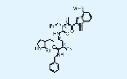 COc1cccc2[nH]c(C(=O)N[C@@H](CC(C)C)C(=O)N[C@H](/C=C(/C#N)C(=O)NCc3ccccc3)CCC3CCNC3=O)cc12